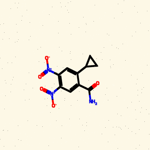 NC(=O)c1cc([N+](=O)[O-])c([N+](=O)[O-])cc1C1CC1